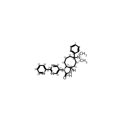 CN(C)[C@]1(c2ccccc2)CCCC2[C@H](CC1)NC(=O)N2c1cnc(-c2ccccn2)nc1